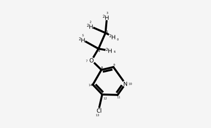 [2H]C([2H])([2H])C([2H])([2H])Oc1cncc(Cl)c1